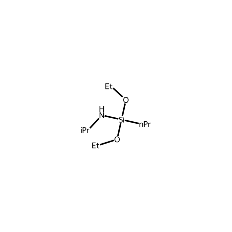 CCC[Si](NC(C)C)(OCC)OCC